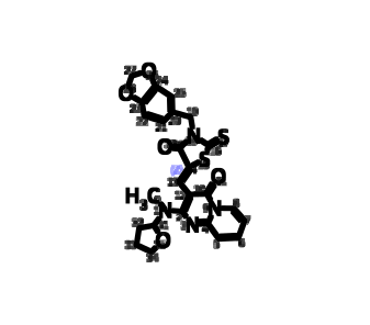 CN(c1nc2ccccn2c(=O)c1/C=C1\SC(=S)N(Cc2ccc3c(c2)OCO3)C1=O)C1CCCO1